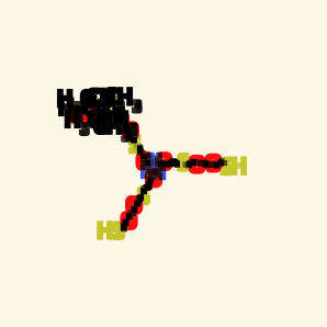 CC(SCCOCCOCCSCCCOc1nc(OCCCSCCOCCOCCS)nc(OCCCSCCOCCOCCS)n1)c1cc(C(C)(C)C)c(O)c(C(C)(C)C)c1